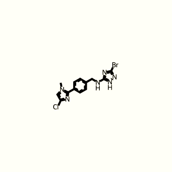 Cn1cc(Cl)nc1-c1ccc(CNc2nc(Br)n[nH]2)cc1